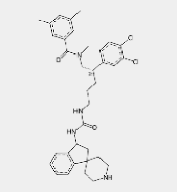 Cc1cc(C)cc(C(=O)N(C)C[C@@H](CCCNC(=O)NC2CC3(CCNCC3)c3ccccc32)c2ccc(Cl)c(Cl)c2)c1